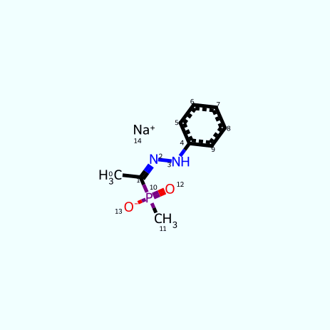 CC(=NNc1ccccc1)P(C)(=O)[O-].[Na+]